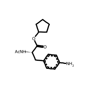 CC(=O)N[C@@H](Cc1ccc(N)cc1)C(=O)OC1CCCC1